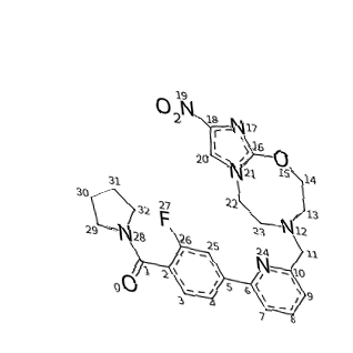 O=C(c1ccc(-c2cccc(CN3CCOc4nc([N+](=O)[O-])cn4CC3)n2)cc1F)N1CCCC1